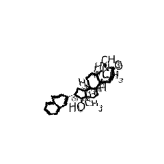 CN1C(=O)C=C[C@]2(C)[C@H]3CC[C@]4(C)[C@@H](O)[C@H](c5ccc6ccccc6c5)C[C@H]4[C@@H]3CC[C@@H]12